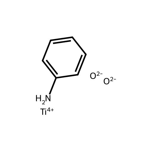 Nc1ccccc1.[O-2].[O-2].[Ti+4]